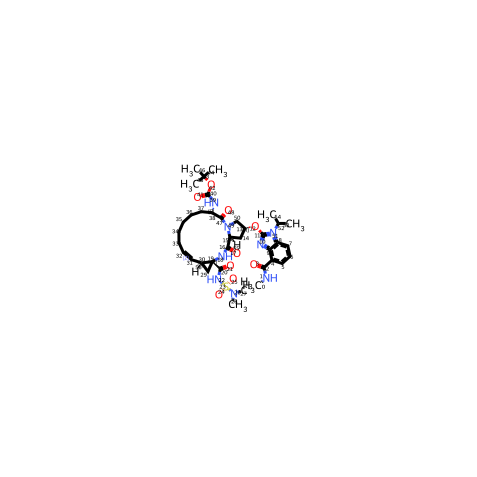 CNC(=O)c1cccc2c1nc(O[C@@H]1C[C@H]3C(=O)N[C@]4(C(=O)NS(=O)(=O)N(C)C)C[C@H]4/C=C\CCCCC[C@H](NC(=O)OC(C)(C)C)C(=O)N3C1)n2C(C)C